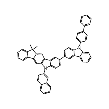 CC1(C)c2ccccc2-c2cc3c(cc21)c1cc(-c2ccc4c(c2)c2ccccc2n4-c2ccc(-c4ccccc4)cc2)ccc1n3-c1ccc2ccccc2c1